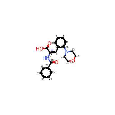 O=C(O)/C(=C\c1ccccc1N1CCOCC1)NC(=O)c1ccccc1